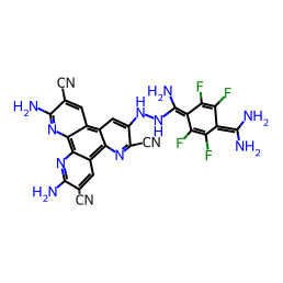 N#Cc1cc2c3cc(NNC(N)=c4c(F)c(F)c(=C(N)N)c(F)c4F)c(C#N)nc3c3cc(C#N)c(N)nc3c2nc1N